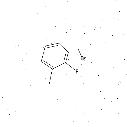 CBr.Cc1ccccc1F